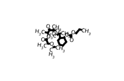 CCCOC(=O)OC1CCCCC1C(C)(C)OC(C)(C)C(=O)C(C)OC(=O)C(C)OC(C)C